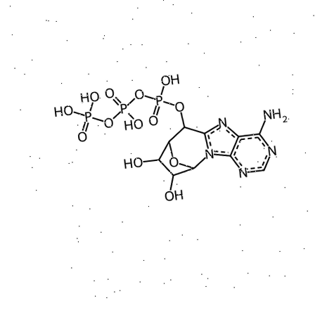 Nc1ncnc2c1nc1n2C2OC(C1OP(=O)(O)OP(=O)(O)OP(=O)(O)O)C(O)C2O